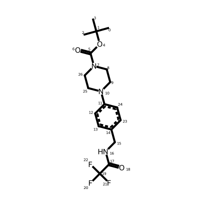 CC(C)(C)OC(=O)N1CCN(c2ccc(CNC(=O)C(F)(F)F)cc2)CC1